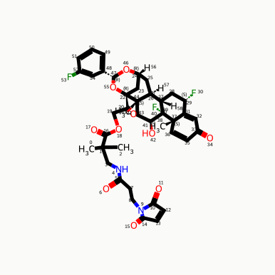 CC(C)(CNC(=O)CCN1C(=O)C=CC1=O)C(=O)OCC(=O)[C@@]12C[C@@H](C[C@H]3[C@@H]4C[C@H](F)C5=CC(=O)C=C[C@]5(C)[C@@]4(F)[C@@H](O)C[C@@]31C)O[C@@H](c1cccc(F)c1)O2